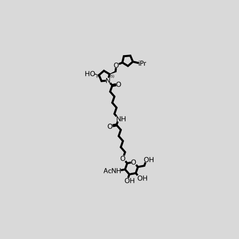 CC(=O)NC1C(OCCCCCC(=O)NCCCCCC(=O)N2C[C@H](O)C[C@H]2COC2CCC(C(C)C)C2)OC(CO)C(O)C1O